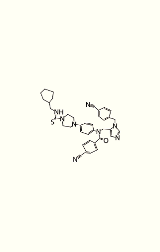 N#Cc1ccc(Cn2cncc2CN(C(=O)c2ccc(C#N)cc2)c2ccc(N3CCN(C(=S)NCC4CCCCC4)CC3)cc2)cc1